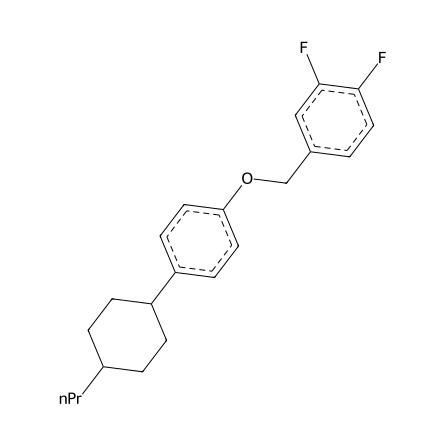 CCCC1CCC(c2ccc(OCc3ccc(F)c(F)c3)cc2)CC1